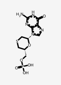 Nc1nc2c(ncn2[C@H]2CSC[C@@H](COP(=O)(O)O)O2)c(=O)[nH]1